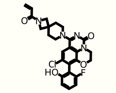 C=CC(=O)N1CC2(CCN(c3nc(=O)n4c5c(c(-c6c(O)cccc6F)c(Cl)cc35)OCC4)CC2)C1